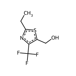 CCc1nc(C(F)(F)F)c(CO)s1